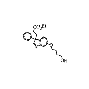 CCOC(=O)CCC1(c2ccccc2)C=Nc2cc(OCCCCO)ccc21